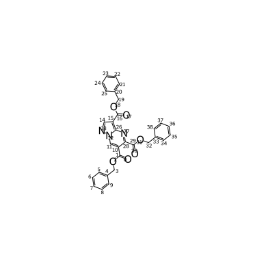 O=C(OCc1ccccc1)c1cn2ncc(C(=O)OCc3ccccc3)c2nc1C(=O)OCc1ccccc1